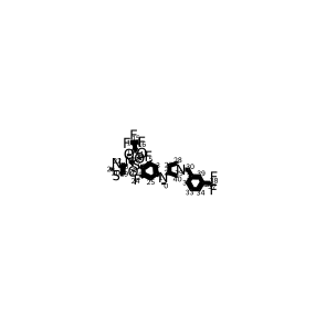 CN(c1cc(F)c(S(=O)(=O)N(OC(=O)C(F)(F)F)c2cscn2)c(F)c1)[C@H]1CCN(Cc2cccc(C(F)F)c2)C1